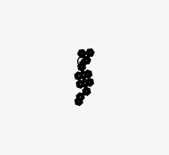 c1cc(-c2ccc3ccccc3c2)cc(-c2c3ccccc3c(-c3c4ccccc4c(-c4ccc5oc6c(ccc7c8ccccc8c8ccccc8c76)c5c4)c4ccccc34)c3ccccc23)c1